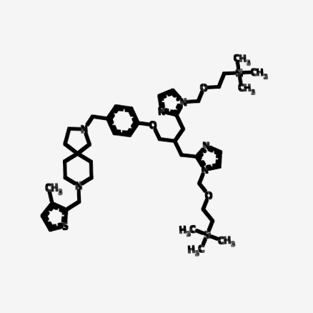 Cc1ccsc1CN1CCC2(CC1)CCN(Cc1ccc(OCC(Cc3nccn3COCC[Si](C)(C)C)Cc3nccn3COCC[Si](C)(C)C)cc1)C2